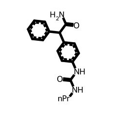 CCCNC(=O)Nc1ccc(C(C(N)=O)c2ccccc2)cc1